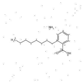 CCCCCCCCc1ccccc1C(=O)O.N